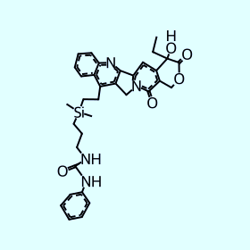 CCC1(O)C(=O)OCc2c1cc1n(c2=O)Cc2c-1nc1ccccc1c2CC[Si](C)(C)CCCNC(=O)Nc1ccccc1